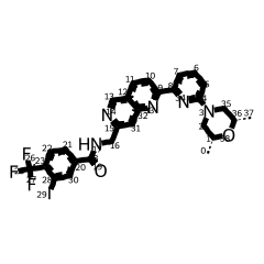 C[C@@H]1CN(c2cccc(-c3ccc4cnc(CNC(=O)c5ccc(C(F)(F)F)c(I)c5)cc4n3)n2)C[C@H](C)O1